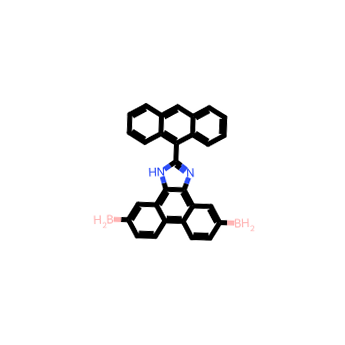 Bc1ccc2c3ccc(B)cc3c3[nH]c(-c4c5ccccc5cc5ccccc45)nc3c2c1